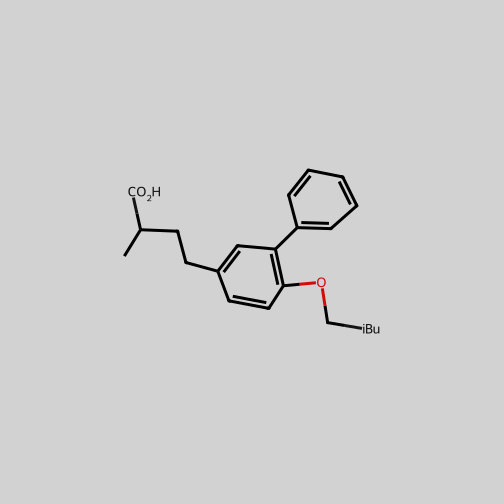 CCC(C)COc1ccc(CCC(C)C(=O)O)cc1-c1ccccc1